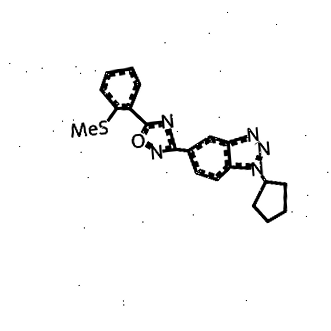 CSc1ccccc1-c1nc(-c2ccc3c(c2)nnn3C2CCCC2)no1